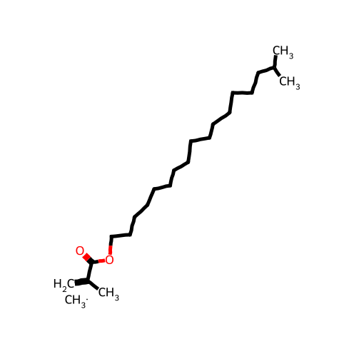 C=C(C)C(=O)OCCCCCCCCCCCCCCCC(C)C.[CH3]